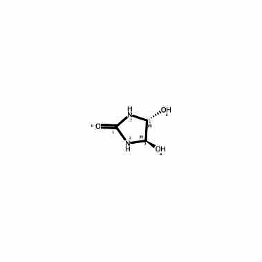 O=C1N[C@H](O)[C@@H](O)N1